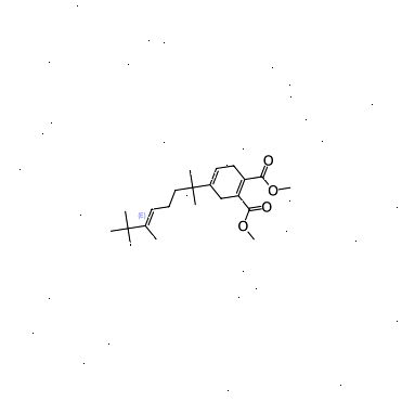 COC(=O)C1=C(C(=O)OC)CC(C(C)(C)CC/C=C(\C)C(C)(C)C)=CC1